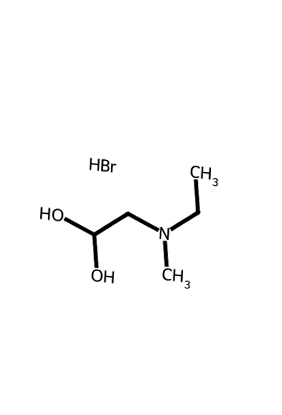 Br.CCN(C)CC(O)O